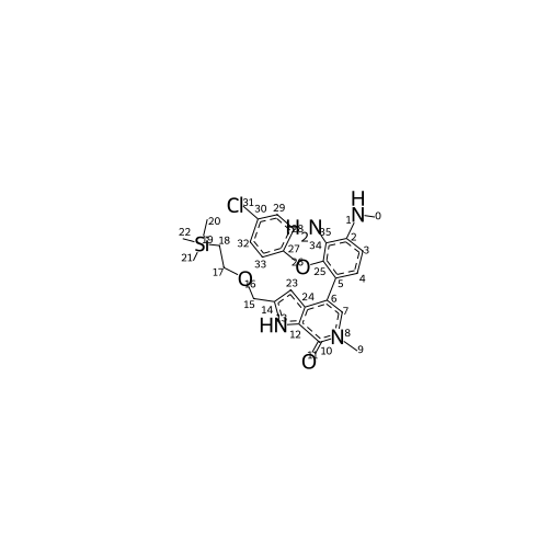 CNc1ccc(-c2cn(C)c(=O)c3[nH]c(COCC[Si](C)(C)C)cc23)c(Oc2ccc(Cl)cc2)c1N